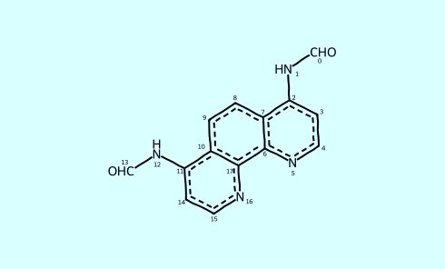 O=CNc1ccnc2c1ccc1c(NC=O)ccnc12